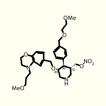 COCCCN1CCOc2ccc(CO[C@H]3CNC[C@@H](CO[N+](=O)[O-])[C@@H]3c3ccc(COCCOC)cc3)cc21